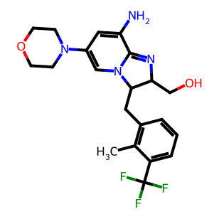 Cc1c(CC2C(CO)N=C3C(N)=CC(N4CCOCC4)=CN32)cccc1C(F)(F)F